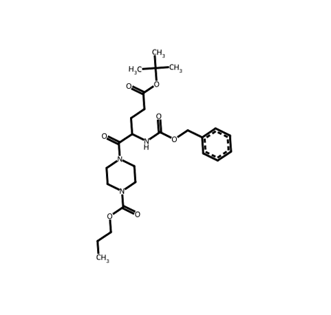 CCCOC(=O)N1CCN(C(=O)C(CCC(=O)OC(C)(C)C)NC(=O)OCc2ccccc2)CC1